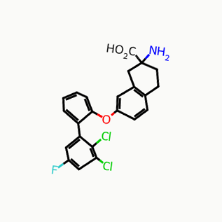 NC1(C(=O)O)CCc2ccc(Oc3ccccc3-c3cc(F)cc(Cl)c3Cl)cc2C1